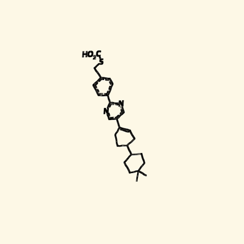 CC1(C)CCC(C2CC=C(c3cnc(-c4ccc(CSC(=O)O)cc4)nc3)CC2)CC1